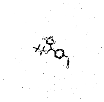 CC(C)(C)[Si](C)(C)OC(c1ccc(N=C=O)cc1)c1c[nH]nn1